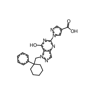 O=C(O)c1cnn(-c2nc(O)c3c(cnn3CC3(c4ccccc4)CCCCC3)n2)c1